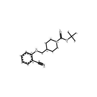 CC(C)(C)OC(=O)N1CCC(COc2ccccc2C#N)CC1